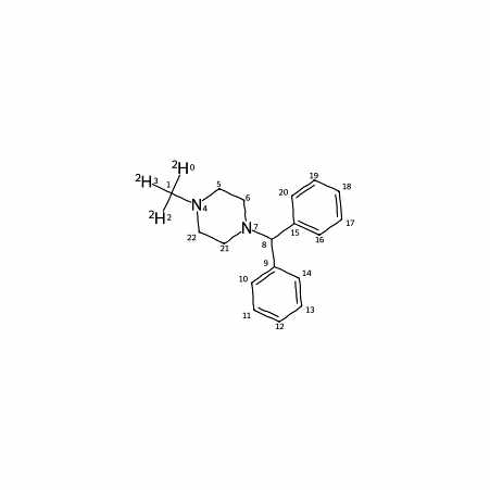 [2H]C([2H])([2H])N1CCN(C(c2ccccc2)c2ccccc2)CC1